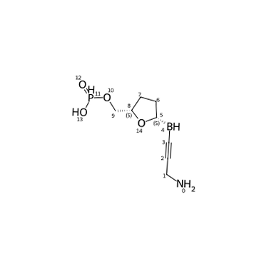 NCC#CB[C@H]1CC[C@@H](CO[PH](=O)O)O1